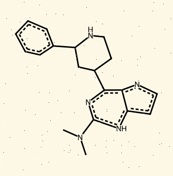 CN(C)c1nc(C2CCNC(c3ccccc3)C2)c2nccc-2[nH]1